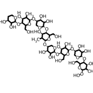 CC1[C@@H](O[C@@H]2CO[C@@H](O[C@@H]3C(CO)O[C@H](OO)C(C)[C@H]3O)C(O)[C@H]2O)OC(CO)[C@@H](O[C@@H]2OC[C@@H](O[C@H]3OC(CO)[C@@H](O[C@@H]4OC[C@@H](O[C@H]5OC(CO)[C@@H](O[C@@H]6OCC[C@H](O)C6O)[C@H](O)C5C)[C@H](O)C4O)[C@H](O)C3C)[C@H](O)C2O)[C@@H]1O